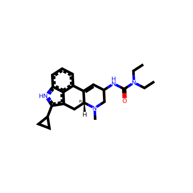 CCN(CC)C(=O)NC1C=C2c3cccc4[nH]c(C5CC5)c(c34)C[C@H]2N(C)C1